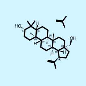 C=C(C)C.C=C(C)[C@@H]1CC[C@]2(CO)CC[C@]3(C)[C@H](CC[C@@H]4[C@@]5(C)CC[C@H](O)C(C)(C)[C@@H]5CC[C@]43C)[C@@H]12